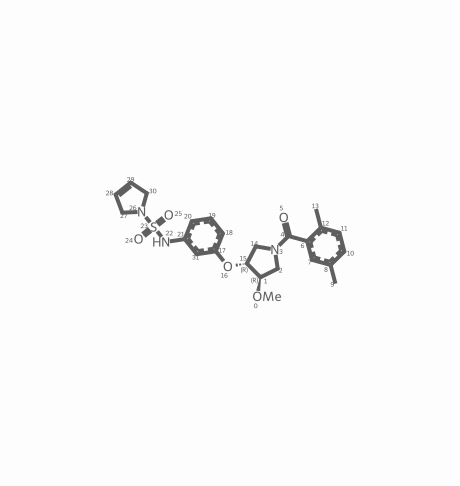 CO[C@@H]1CN(C(=O)c2cc(C)ccc2C)C[C@H]1Oc1cccc(NS(=O)(=O)N2CC=CC2)c1